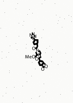 COC(=O)C1CN(C(=O)Cc2ccc(-n3cnnn3)cc2)CCN1CCc1ccc2c(c1)COC2=O